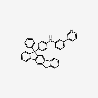 c1ccc(C2(c3ccc(Nc4cccc(-c5cccnc5)c4)cc3)c3ccccc3-c3cc4c(cc32)-c2ccccc2C4)cc1